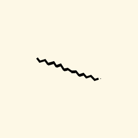 [CH2]CCCC=CC=CC=CC=CC=CCCC